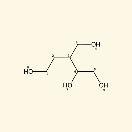 OCCC(CO)C(O)CO